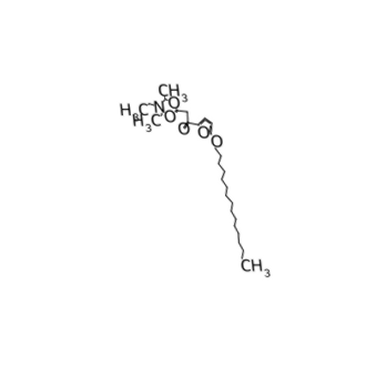 CCCCCCCCCCCCCCCCOc1ccc(C(=O)CC(=O)OC(C)N(CC)CC)o1